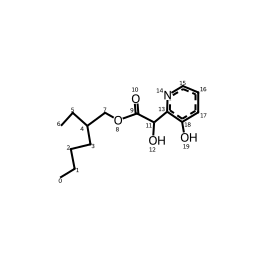 CCCCC(CC)COC(=O)C(O)c1ncccc1O